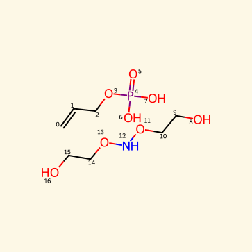 C=CCOP(=O)(O)O.OCCONOCCO